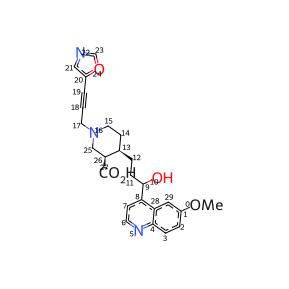 COc1ccc2nccc(C(O)CC[C@@H]3CCN(CC#Cc4cnco4)C[C@@H]3C(=O)O)c2c1